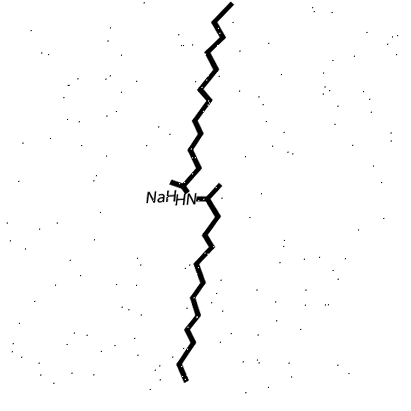 CCCCCCCCCCCC(C)NC(C)CCCCCCCCCCC.[NaH]